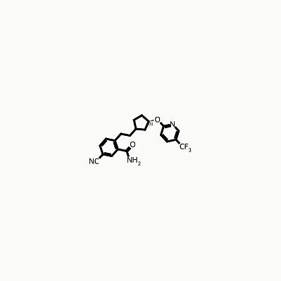 N#Cc1ccc(CCC2CC[C@H](Oc3ccc(C(F)(F)F)cn3)C2)c(C(N)=O)c1